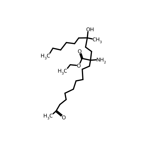 CCCCCCC(C)(O)CCC(N)(CCCCCCCCC(C)=O)C(=O)OCC